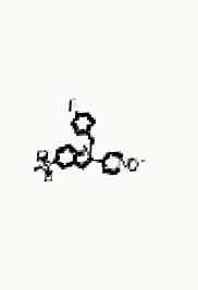 CS(=O)(=O)c1ccc2c(c1)cc(-c1cc[n+]([O-])cc1)n2Cc1ccc(F)cc1